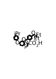 CCN(CC)C(=O)c1ccc(C(=O)N2[C@H](C(=O)O)CSC23CCC(Oc2ccc(C(C)C)cc2)CC3)cc1